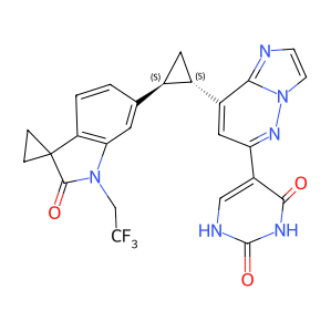 O=C1N(CC(F)(F)F)c2cc([C@H]3C[C@@H]3c3cc(-c4c[nH]c(=O)[nH]c4=O)nn4ccnc34)ccc2C12CC2